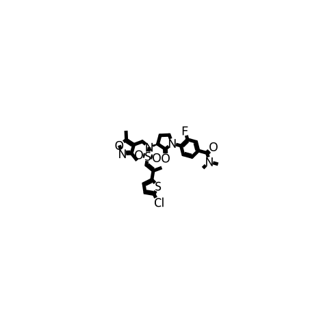 CC(=CS(=O)(=O)N(Cc1c(C)noc1C)[C@H]1CCN(c2ccc(C(=O)N(C)C)cc2F)C1=O)c1ccc(Cl)s1